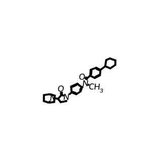 CN(C(=O)c1ccc(C2CCCCC2)cc1)c1ccc(N2CCC(N3C4CCC3CC4)C2=O)cc1